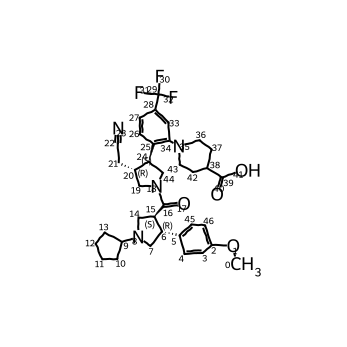 COc1ccc([C@@H]2CN(C3CCCC3)C[C@H]2C(=O)N2C[C@H](CC#N)[C@@H](c3ccc(C(F)(F)F)cc3N3CCC(C(=O)O)CC3)C2)cc1